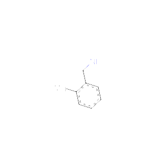 NCc1cccc[c]1[Mg+].[Cl-]